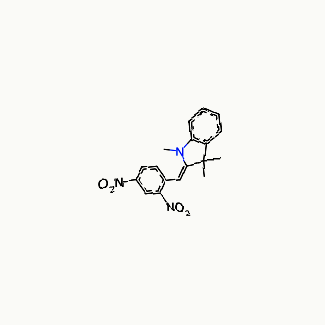 CN1/C(=C\c2ccc([N+](=O)[O-])cc2[N+](=O)[O-])C(C)(C)c2ccccc21